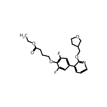 CCOC(=O)CCCOc1c(F)cc(-c2cccnc2OCC2CCOC2)cc1F